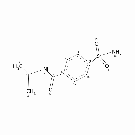 CC(C)NC(=O)c1ccc(S(N)(=O)=O)cc1